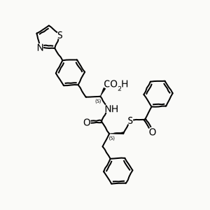 O=C(SC[C@@H](Cc1ccccc1)C(=O)N[C@@H](Cc1ccc(-c2nccs2)cc1)C(=O)O)c1ccccc1